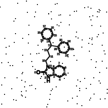 O=c1[nH]c2ccccc2n1CCCC(c1ccccc1)c1ccccc1